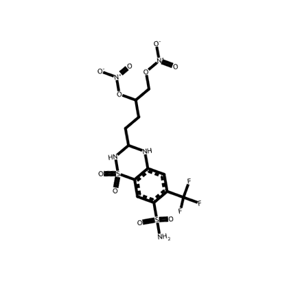 NS(=O)(=O)c1cc2c(cc1C(F)(F)F)NC(CCC(CO[N+](=O)[O-])O[N+](=O)[O-])NS2(=O)=O